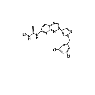 CCNC(=S)Nc1ccc2ncc(-c3cnn(Cc4cc(Cl)cc(Cl)c4)c3)nc2n1